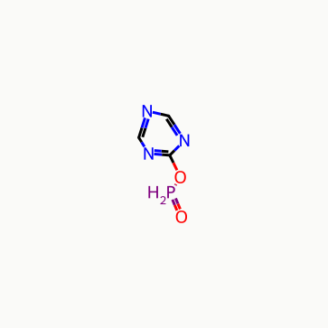 O=[PH2]Oc1ncncn1